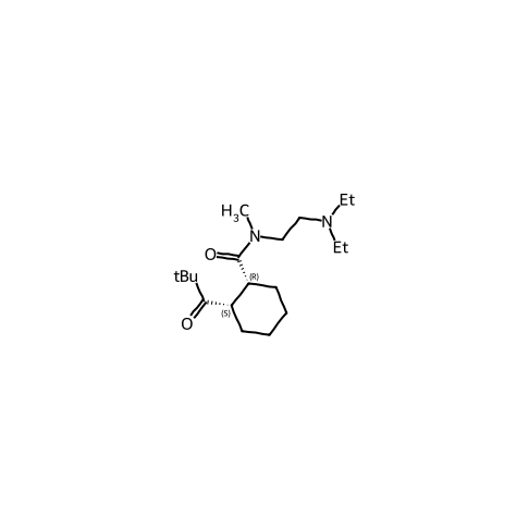 CCN(CC)CCN(C)C(=O)[C@@H]1CCCC[C@@H]1C(=O)C(C)(C)C